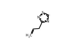 C=CCc1n[c]sn1